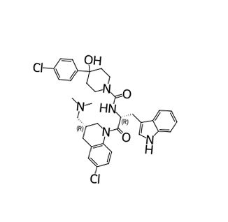 CN(C)C[C@H]1Cc2cc(Cl)ccc2N(C(=O)[C@@H](Cc2c[nH]c3ccccc23)NC(=O)N2CCC(O)(c3ccc(Cl)cc3)CC2)C1